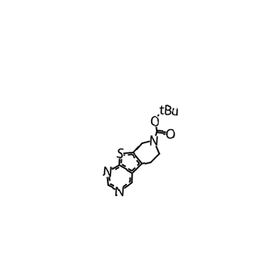 CC(C)(C)OC(=O)N1CCc2c(sc3ncncc23)C1